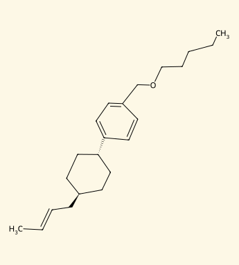 C/C=C/C[C@H]1CC[C@H](c2ccc(COCCCCC)cc2)CC1